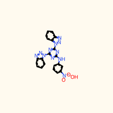 O=[N+](OO)c1cccc(Nc2nc(-n3nnc4ccccc43)nc(-n3nnc4ccccc43)n2)c1